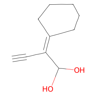 C#CC(=C1CCCCC1)C(O)O